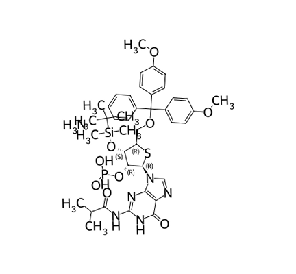 COc1ccc(C(OC[C@H]2S[C@@H](n3cnc4c(=O)[nH]c(NC(=O)C(C)C)nc43)[C@H](O[PH](=O)O)[C@@H]2O[Si](C)(C)C(C)(C)C)(c2ccccc2)c2ccc(OC)cc2)cc1.N